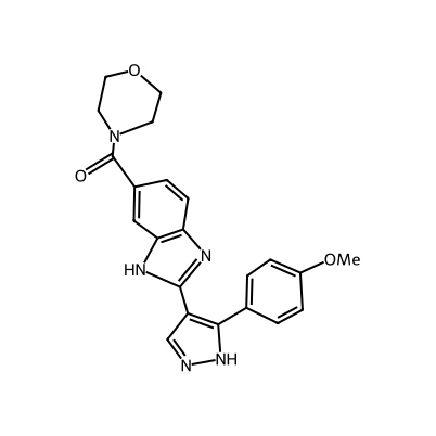 COc1ccc(-c2[nH]ncc2-c2nc3ccc(C(=O)N4CCOCC4)cc3[nH]2)cc1